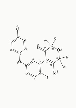 Cc1ccc(Oc2ccc(Cl)cc2)cc1C1=C(O)C(C)(C)OC(C)(C)C1=O